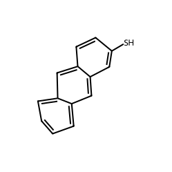 Sc1ccc2cc3ccccc3cc2c1